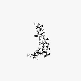 CCn1nc(C(=O)NC[C@]2(O)CC[C@@H](S(C)(=O)=O)C[C@H]2O)c(Cl)c1-c1ccc(CC(C)(C)C(F)(F)F)nc1OC(F)F